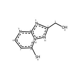 OCc1nc2nccc(S)n2n1